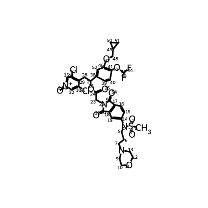 CS(=O)(=O)N(CCCN1CCOCC1)c1ccc2c(c1)C(=O)N(CC(=O)OC(Cc1c(Cl)c[n+]([O-])cc1Cl)c1ccc(OC(F)F)c(OCC3CC3)c1)C2=O